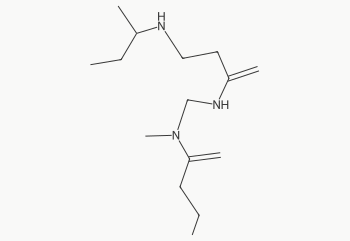 C=C(CCNC(C)CC)NCN(C)C(=C)CCC